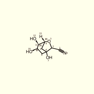 N#CC1O[C@@H]2CC1(O)C[C@@H](O)[C@H]2O